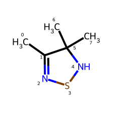 CC1=NSNC1(C)C